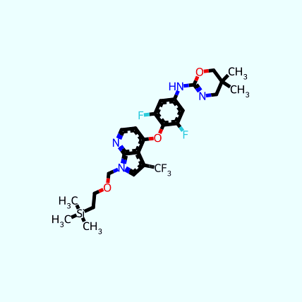 CC1(C)CN=C(Nc2cc(F)c(Oc3ccnc4c3c(C(F)(F)F)cn4COCC[Si](C)(C)C)c(F)c2)OC1